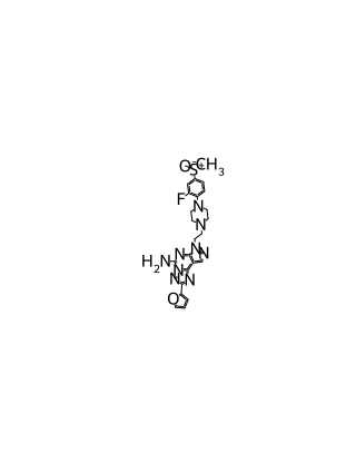 C[S@@+]([O-])c1ccc(N2CCN(CCn3ncc4c3nc(N)n3nc(-c5ccco5)nc43)CC2)c(F)c1